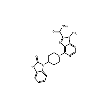 CNC(=O)c1nc2c(N3CCC(n4c(=O)[nH]c5ccccc54)CC3)ncnc2n1C